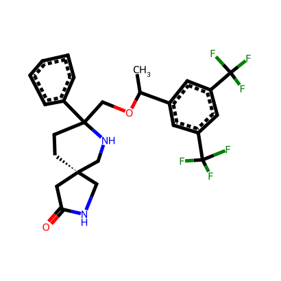 CC(OCC1(c2ccccc2)CC[C@@]2(CNC(=O)C2)CN1)c1cc(C(F)(F)F)cc(C(F)(F)F)c1